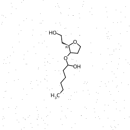 CCCCCC(O)OC1CCO[C@@H]1CCO